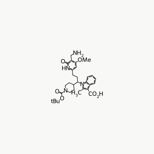 COc1cc(CCC(C2CCN(C(=O)OC(C)(C)C)CC2)n2c(C)c(C(=O)O)c3ccccc32)[nH]c(=O)c1CN